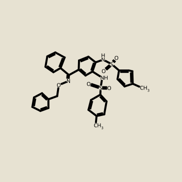 Cc1ccc(S(=O)(=O)Nc2ccc(C(=NOCc3ccccc3)c3ccccc3)cc2NS(=O)(=O)c2ccc(C)cc2)cc1